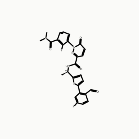 C[C@@H](NC(=O)c1ccc(=O)n(-c2cccc(C(=O)N(C)C)c2F)n1)c1ccc(-c2cc(F)ccc2C=O)s1